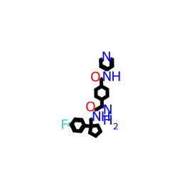 NC(C(=O)NCC1(c2ccc(F)cc2)CCCC1)C1CCC(C(=O)Nc2ccncc2)CC1